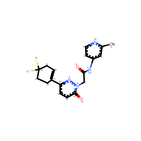 N#Cc1cc(NC(=O)Cn2nc(C3=CCC(F)(F)CC3)ccc2=O)ccn1